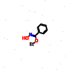 CCOC(=NO)c1ccccc1